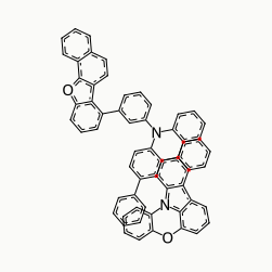 c1ccc(-c2ccc(N(c3cccc(-c4cccc5oc6c7ccccc7ccc6c45)c3)c3ccccc3-c3ccc4c(c3)c3cccc5c3n4-c3ccccc3O5)c(-c3ccccc3)c2)cc1